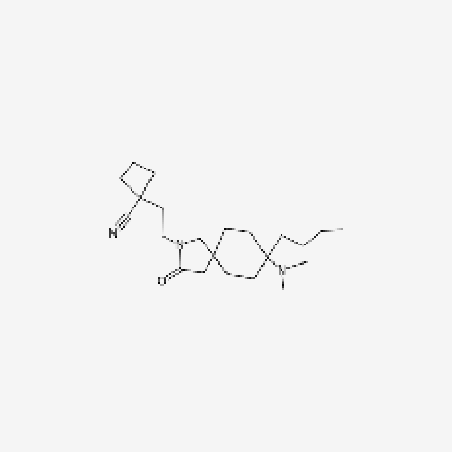 CCCCC1(N(C)C)CCC2(CC1)CC(=O)N(CCC1(C#N)CCC1)C2